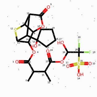 CC(C(=O)OC1C2OC(=O)C3C2SC1C3C1(O)CCCC1)C(C)C(=O)OC(O)C(F)(F)S(=O)(=O)O